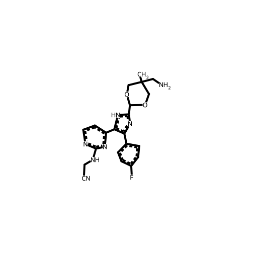 CC1(CN)COC(c2nc(-c3ccc(F)cc3)c(-c3ccnc(NCC#N)n3)[nH]2)OC1